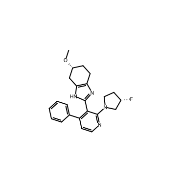 CO[C@@H]1CCc2nc(-c3c(-c4ccccc4)ccnc3N3CC[C@H](F)C3)[nH]c2C1